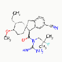 CC[C@@H]1C[C@]2(CC[C@H]1OC)Cc1ccc(C#N)cc1[C@H]2C(=O)N(CC(C)(C)F)C(=N)N